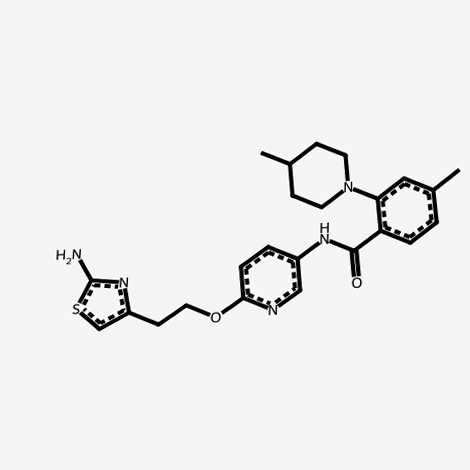 Cc1ccc(C(=O)Nc2ccc(OCCc3csc(N)n3)nc2)c(N2CCC(C)CC2)c1